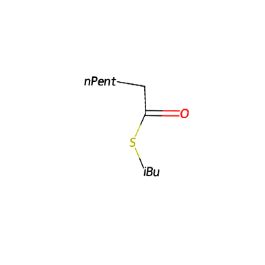 CCCCCCC(=O)SC(C)CC